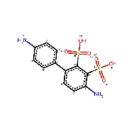 Nc1ccc(-c2ccc(N)c(S(=O)(=O)O)c2S(=O)(=O)O)cc1